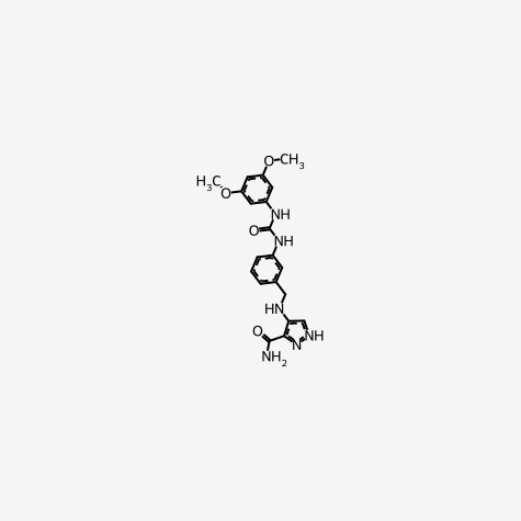 COc1cc(NC(=O)Nc2cccc(CNc3c[nH]nc3C(N)=O)c2)cc(OC)c1